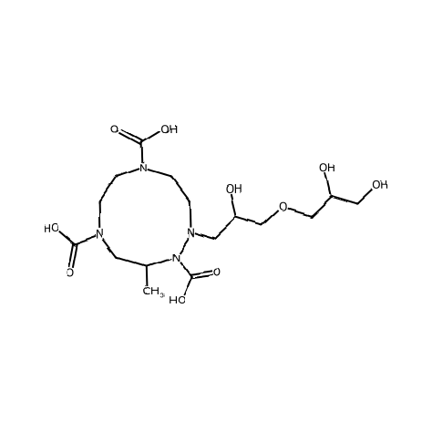 CC1CN(C(=O)O)CCN(C(=O)O)CCN(CC(O)COCC(O)CO)N1C(=O)O